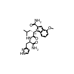 COc1cccc2c1cc(C(N)=O)n2[C@@H](CC(C)C)C(=O)NC(Cc1cc[nH]n1)C(N)=O